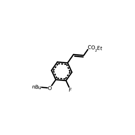 CCCCOc1ccc(C=CC(=O)OCC)cc1F